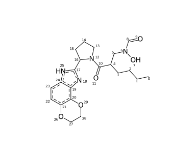 CCCCC(CN(O)C=O)C(=O)N1CCCC1c1nc2c3c(ccc2[nH]1)OCCO3